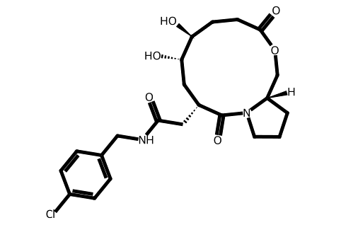 O=C(C[C@@H]1C[C@H](O)[C@@H](O)CCC(=O)OC[C@@H]2CCCN2C1=O)NCc1ccc(Cl)cc1